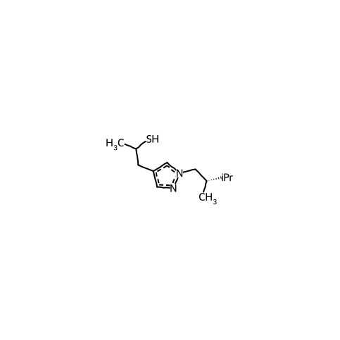 CC(S)Cc1cnn(C[C@@H](C)C(C)C)c1